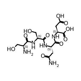 NC(=O)C[C@H](NC(=O)[C@H](CO)NC(=O)[C@@H](N)CO)C(=O)N[C@@H](CC(=O)O)C(=O)O